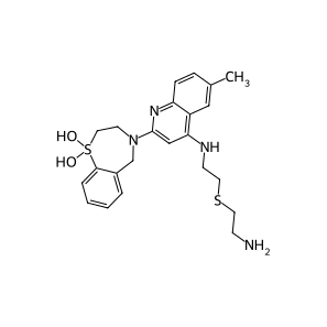 Cc1ccc2nc(N3CCS(O)(O)c4ccccc4C3)cc(NCCSCCN)c2c1